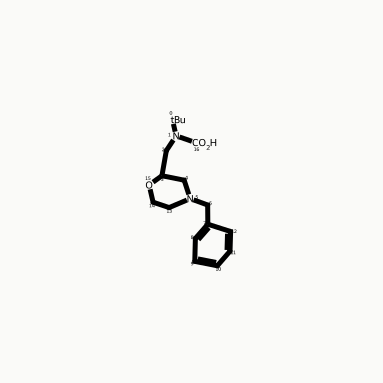 CC(C)(C)N(CC1CN(Cc2ccccc2)CCO1)C(=O)O